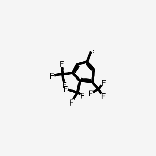 [CH]c1cc(C(F)(F)F)c(C(F)(F)F)c(C(F)(F)F)c1